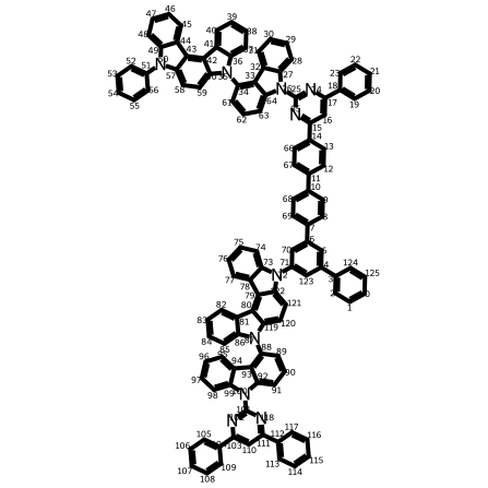 c1ccc(-c2cc(-c3ccc(-c4ccc(-c5cc(-c6ccccc6)nc(-n6c7ccccc7c7c(-n8c9ccccc9c9c%10c%11ccccc%11n(-c%11ccccc%11)c%10ccc98)cccc76)n5)cc4)cc3)cc(-n3c4ccccc4c4c5c6ccccc6n(-c6cccc7c6c6ccccc6n7-c6nc(-c7ccccc7)cc(-c7ccccc7)n6)c5ccc43)c2)cc1